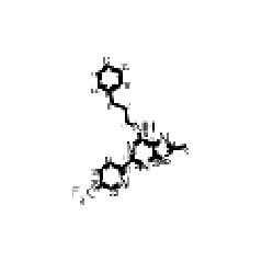 Cc1nc2c(NCCCc3ccccc3)nc(-c3ccc(C(F)(F)F)cn3)nc2s1